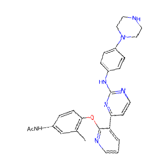 CC(=O)Nc1ccc(Oc2ncccc2-c2ccnc(Nc3ccc(N4CCNCC4)cc3)n2)c(C)c1